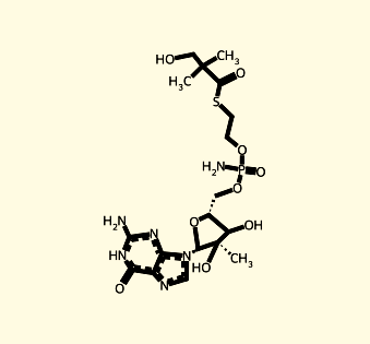 CC(C)(CO)C(=O)SCCOP(N)(=O)OC[C@H]1O[C@@H](n2cnc3c(=O)[nH]c(N)nc32)[C@](C)(O)C1O